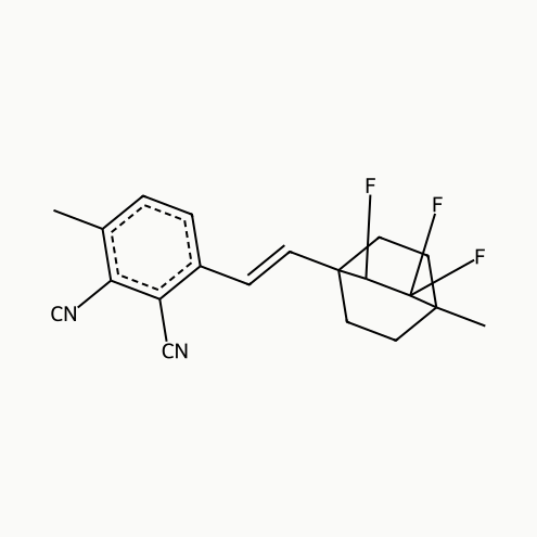 [C-]#[N+]c1c(C)ccc(/C=C/C23CCC(C)(CC2)C(F)(F)C3F)c1C#N